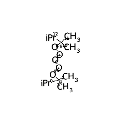 CC(C)C(C)(C)OOOOOC(C)(C)C(C)C